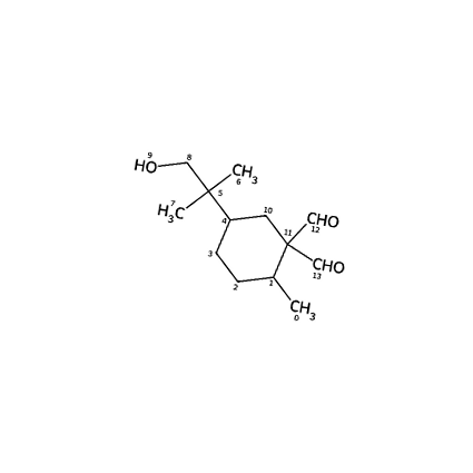 CC1CCC(C(C)(C)CO)CC1(C=O)C=O